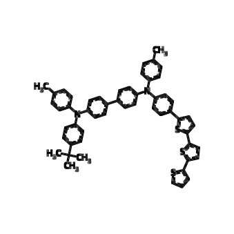 Cc1ccc(N(c2ccc(-c3ccc(N(c4ccc(C)cc4)c4ccc(C(C)(C)C)cc4)cc3)cc2)c2ccc(-c3ccc(-c4ccc(-c5cccs5)s4)s3)cc2)cc1